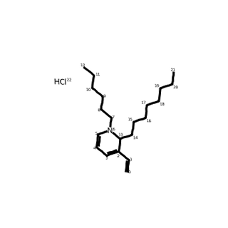 C=CC1=CC=CN(CCCCCC)C1CCCCCCCC.Cl